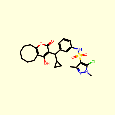 Cc1nn(C)c(Cl)c1S(=O)(=O)Nc1cccc(C(c2c(O)c3c(oc2=O)CCCCCC3)C2CC2)c1